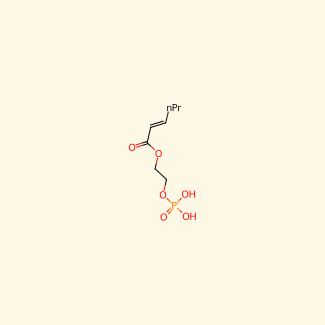 CCCC=CC(=O)OCCOP(=O)(O)O